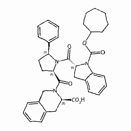 O=C(O)[C@H]1Cc2ccccc2CN1C(=O)[C@H]1CC[C@@H](c2ccccc2)N1C(=O)[C@H]1Cc2ccccc2N1C(=O)OC1CCCCCC1